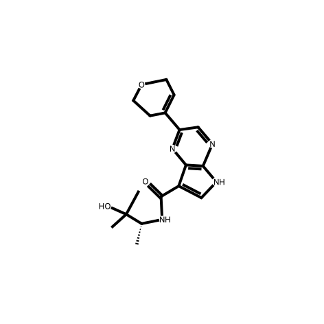 C[C@@H](NC(=O)c1c[nH]c2ncc(C3=CCOCC3)nc12)C(C)(C)O